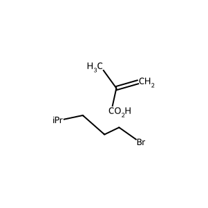 C=C(C)C(=O)O.CC(C)CCCBr